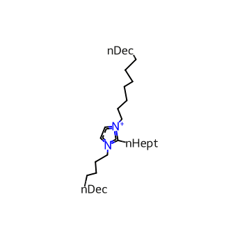 CCCCCCCCCCCCCCCCC[n+]1ccn(CCCCCCCCCCCCCC)c1CCCCCCC